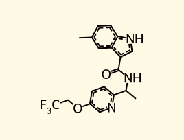 Cc1ccc2[nH]cc(C(=O)NC(C)c3ccc(OCC(F)(F)F)cn3)c2c1